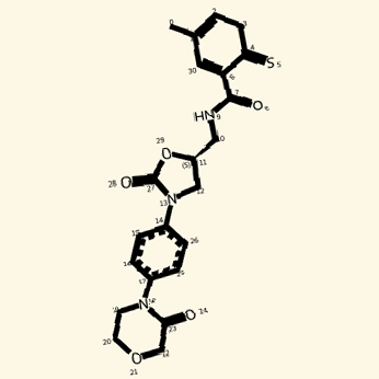 CC1=CCC(=S)C(C(=O)NC[C@H]2CN(c3ccc(N4CCOCC4=O)cc3)C(=O)O2)=C1